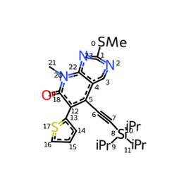 CSc1ncc2c(C#C[Si](C(C)C)(C(C)C)C(C)C)c(-c3cccs3)c(=O)n(C)c2n1